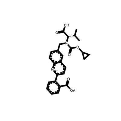 CC(C)[C@@H](C(=O)O)N(Cc1ccc2nc(-c3ccccc3C(=O)O)ccc2c1)C(=O)OC1CC1